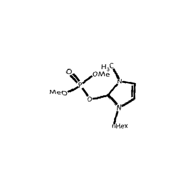 CCCCCCN1C=CN(C)C1OP(=O)(OC)OC